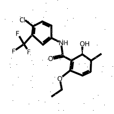 CCOC1=C(C(=O)Nc2ccc(Cl)c(C(F)(F)F)c2)[C@@H](O)C(C)C=C1